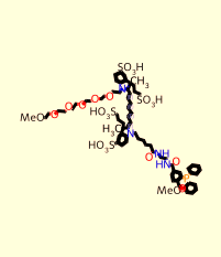 COCCOCCOCCOCCOCCOCC[N+]1=C(/C=C/C=C/C=C/C=C2/N(CCCCCC(=O)NCCNC(=O)c3ccc(C(=O)OC)c(P(c4ccccc4)c4ccccc4)c3)c3ccc(S(=O)(=O)O)cc3C2(C)CCCS(=O)(=O)O)C(C)(CCCS(=O)(=O)O)c2cc(S(=O)(=O)O)ccc21